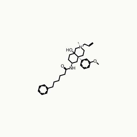 C=CC[N@@+]1(C)CC[C@@]2(c3cccc(OC)c3)C[C@@H](NC(=O)CCCCCc3ccccc3)CCC2(O)C1